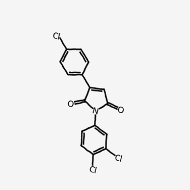 O=C1C=C(c2ccc(Cl)cc2)C(=O)N1c1ccc(Cl)c(Cl)c1